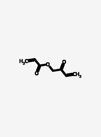 C=CC(=O)COC(=O)C=C